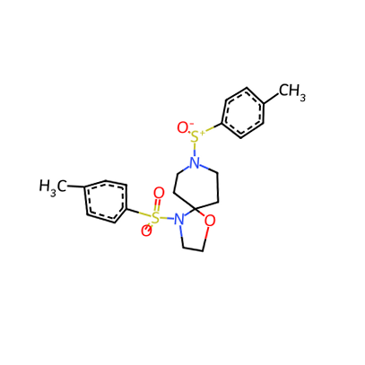 Cc1ccc([S+]([O-])N2CCC3(CC2)OCCN3S(=O)(=O)c2ccc(C)cc2)cc1